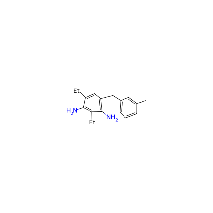 CCc1cc(Cc2cccc(C)c2)c(N)c(CC)c1N